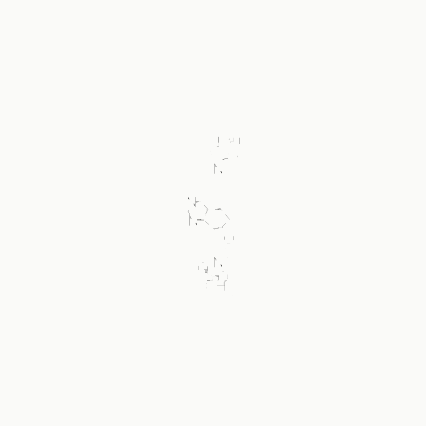 CC(C)(C)OC(=O)N1CCC(c2ncnc3cc(OC4CN(S(C)(=O)=O)C4)ccc23)CC1